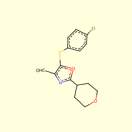 O=Cc1nc(C2CCOCC2)oc1Sc1ccc(Cl)cc1